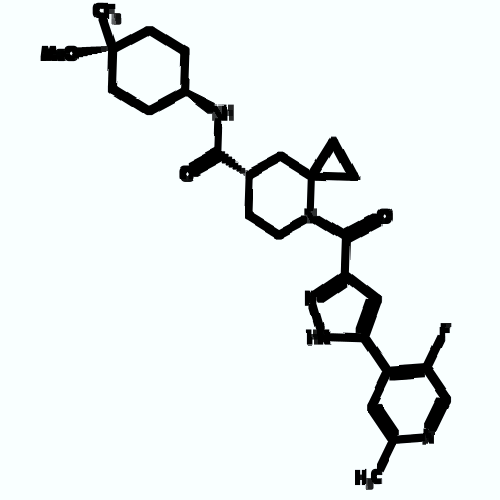 CO[C@]1(C(F)(F)F)CC[C@@H](NC(=O)[C@H]2CCN(C(=O)c3cc(-c4cc(C)ncc4F)[nH]n3)C3(CC3)C2)CC1